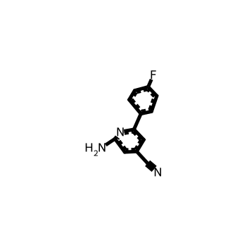 N#Cc1cc(N)nc(-c2ccc(F)cc2)c1